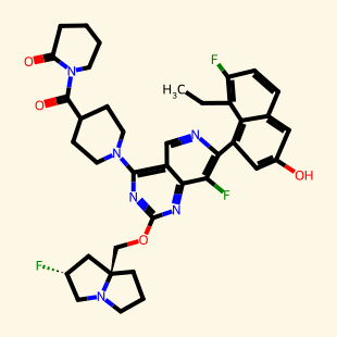 CCc1c(F)ccc2cc(O)cc(-c3ncc4c(N5CCC(C(=O)N6CCCCC6=O)CC5)nc(OC[C@@]56CCCN5C[C@H](F)C6)nc4c3F)c12